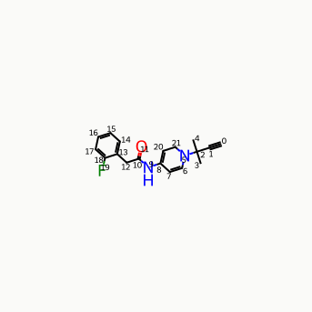 C#CC(C)(C)N1C=CC(NC(=O)Cc2ccccc2F)=CC1